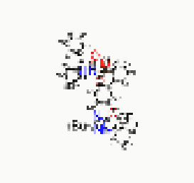 CCCCc1nn(-c2ccccc2C(F)(F)F)c(=O)n1Cc1ccc(-c2ccccc2S(=O)(=O)NC(=O)C(c2ccccc2)c2ccccc2)cc1